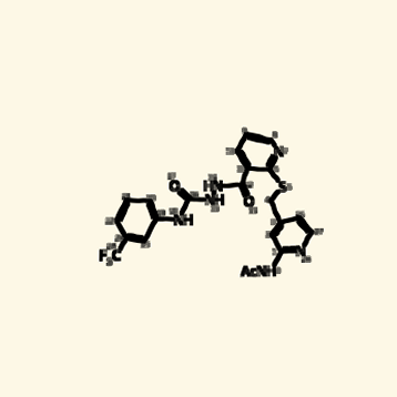 CC(=O)Nc1cc(CSc2ncccc2C(=O)NNC(=O)Nc2cccc(C(F)(F)F)c2)ccn1